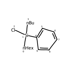 CCCCCC[Si](Cl)(CCCC)c1ccccc1